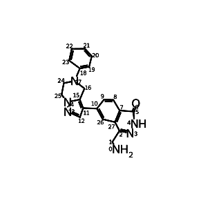 NCc1n[nH]c(=O)c2ccc(-c3cnn4c3CN(c3ccccc3)CC4)cc12